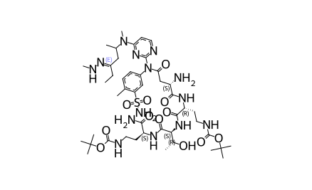 CC/C(CC(C)N(C)c1ccnc(N(C(=O)C[C@H](N)C(=O)N[C@H](CCNC(=O)OC(C)(C)C)C(=O)N[C@H](C(=O)N[C@@H](CCNC(=O)OC(C)(C)C)C(N)=O)[C@@H](C)O)c2ccc(C)c(S(N)(=O)=O)c2)n1)=N\NC